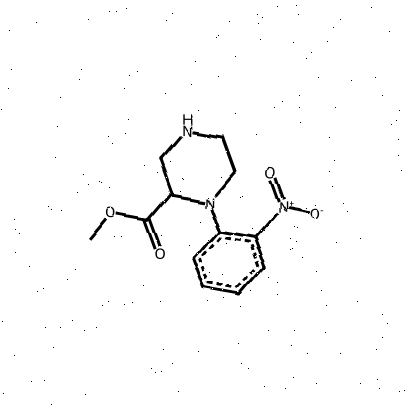 COC(=O)C1CNCCN1c1ccccc1[N+](=O)[O-]